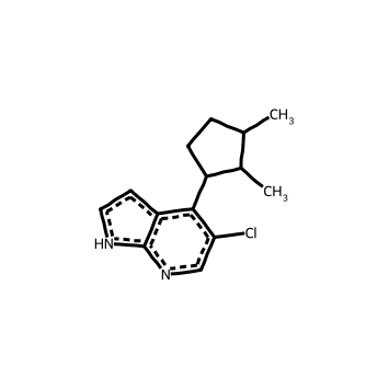 CC1CCC(c2c(Cl)cnc3[nH]ccc23)C1C